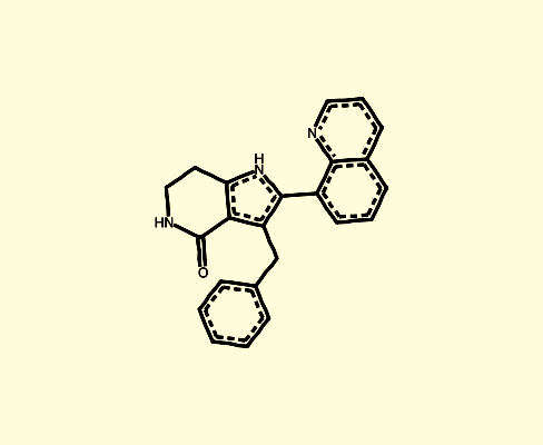 O=C1NCCc2[nH]c(-c3cccc4cccnc34)c(Cc3ccccc3)c21